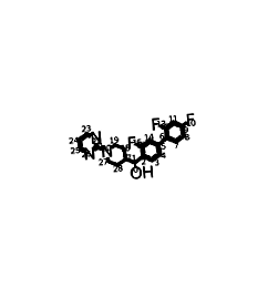 O[C@@H](c1ccc(-c2ccc(F)cc2F)cc1F)C1CCN(c2ncccn2)CC1